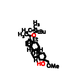 CC[C@]12CC[C@H]3[C@@H](CC[C@@H]4CC(O)(COC)CC[C@@H]43)[C@@H]1CC[C@@H]2C(C)O[Si](C)(C)C(C)(C)C